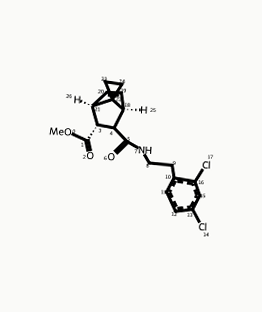 COC(=O)[C@H]1C(C(=O)NCCc2ccc(Cl)cc2Cl)[C@@H]2C=C[C@H]1C21CC1